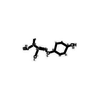 CN(/[N+]([O-])=N/OC1CCC(O)CC1)C(C)(C)C